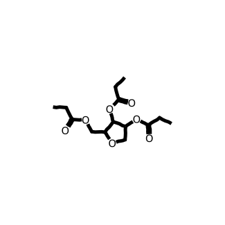 CCC(=O)OCC1OCC(OC(=O)CC)C1OC(=O)CC